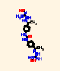 C/C(=N\NC(=N)NO)c1ccc(NC(=O)Nc2ccc(C(C)NN/C(N)=N/O)cc2)cc1